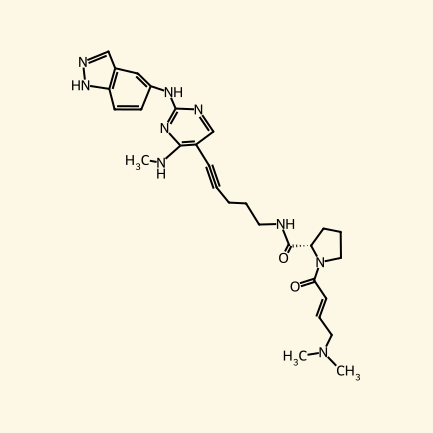 CNc1nc(Nc2ccc3[nH]ncc3c2)ncc1C#CCCCNC(=O)[C@@H]1CCCN1C(=O)C=CCN(C)C